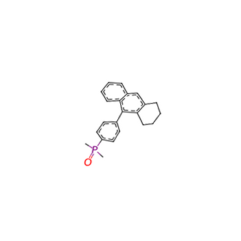 CP(C)(=O)c1ccc(-c2c3c(cc4ccccc24)CCCC3)cc1